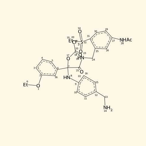 CCOc1cccc(C(Nc2ccc(CN)cc2)(OC(=O)C(F)(F)F)C(=O)NCc2cc(NC(C)=O)ccc2S(=O)(=O)CC)c1